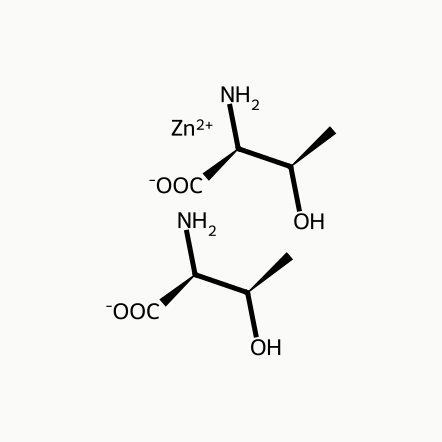 C[C@@H](O)[C@H](N)C(=O)[O-].C[C@@H](O)[C@H](N)C(=O)[O-].[Zn+2]